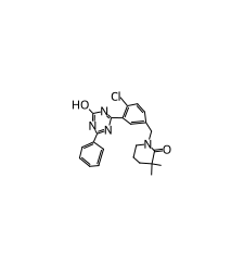 CC1(C)CCCN(Cc2ccc(Cl)c(-c3nc(O)nc(-c4ccccc4)n3)c2)C1=O